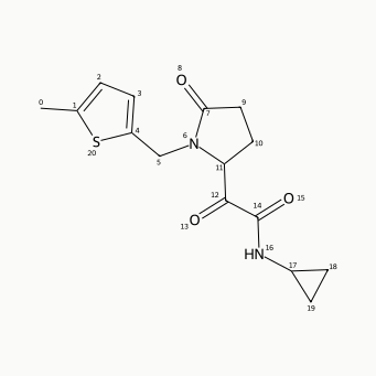 Cc1ccc(CN2C(=O)CCC2C(=O)C(=O)NC2CC2)s1